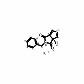 Cl.O=C1C2=CN=C[C@@H]2C(=O)N1Cc1ccccc1